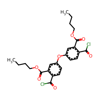 CCCCOC(=O)c1cc(Oc2ccc(C(=O)Cl)c(C(=O)OCCCC)c2)ccc1C(=O)Cl